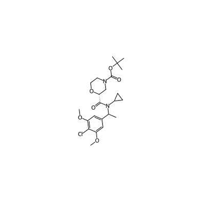 COc1cc(C(C)N(C(=O)[C@H]2CN(C(=O)OC(C)(C)C)CCO2)C2CC2)cc(OC)c1Cl